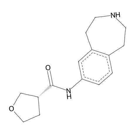 O=C(Nc1ccc2c(c1)CCNCC2)[C@@H]1CCOC1